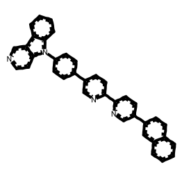 c1ccc2cc(-c3ccc(-c4ccc(-c5ccc(-n6c7ccccc7c7cnccc76)cc5)cn4)nc3)ccc2c1